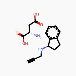 C#CCN[C@@H]1CCc2ccccc21.N[C@@H](CC(=O)O)C(=O)O